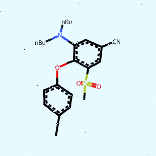 CCCCN(CCCC)c1cc(C#N)cc(S(C)(=O)=O)c1Oc1ccc(C)cc1